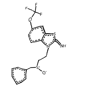 N=c1sc2cc(OC(F)(F)F)ccc2n1CC[S+]([O-])c1ccccc1